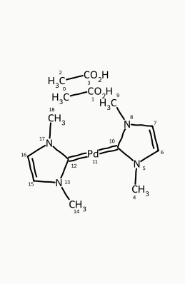 CC(=O)O.CC(=O)O.Cn1ccn(C)[c]1=[Pd]=[c]1n(C)ccn1C